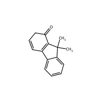 CC1(C)C2=C(C=CCC2=O)c2ccccc21